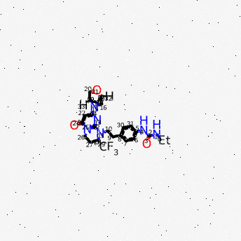 CCNC(=O)Nc1ccc(CCN2c3nc(N4C[C@@H]5C[C@H]4CO5)cc(=O)n3CC[C@H]2C(F)(F)F)cc1